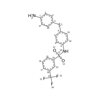 Nc1ccc(Sc2ccc(NS(=O)(=O)c3cccc(C(F)(F)F)c3)cc2)cc1